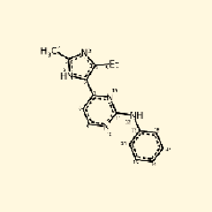 CCc1nc(C)[nH]c1-c1ccnc(Nc2ccccc2)n1